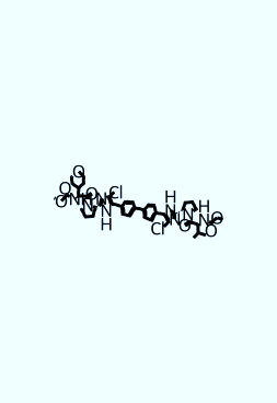 COC(=O)NC(C(=O)N1CCC[C@H]1c1nc(Cl)c(-c2ccc(-c3ccc(-c4[nH]c([C@@H]5CCCN5C(=O)[C@@H](NC(=O)OC)C5CCOCC5)nc4Cl)cc3)cc2)[nH]1)C(C)C